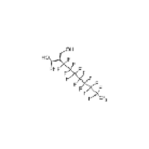 CCC(O)C(CO)C(F)(F)C(F)(F)C(F)(F)C(F)(F)C(F)(F)C(F)(F)C(F)(F)C(F)(F)F